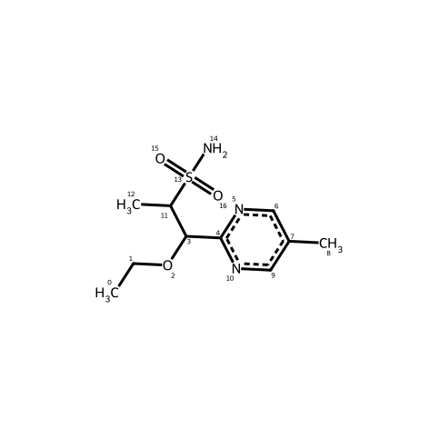 CCOC(c1ncc(C)cn1)C(C)S(N)(=O)=O